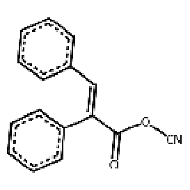 N#COC(=O)C(=Cc1ccccc1)c1ccccc1